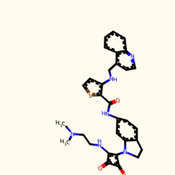 CN(C)CCNc1c(N2CCc3ccc(NC(=O)c4sccc4NCc4ccnc5ccccc45)cc32)c(=O)c1=O